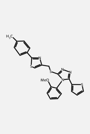 COc1ccccc1-n1c(SCc2csc(-c3ccc(C)cc3)n2)nnc1-c1cccs1